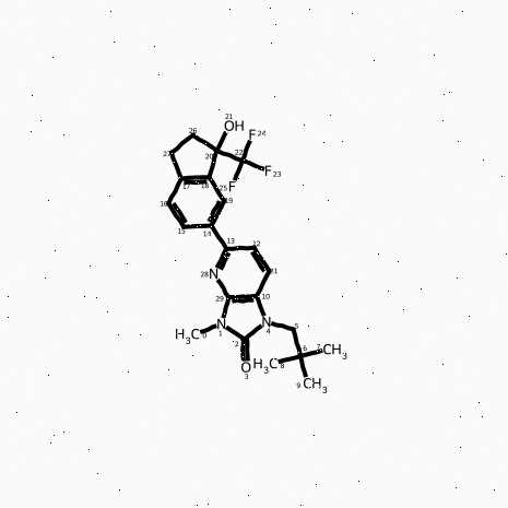 Cn1c(=O)n(CC(C)(C)C)c2ccc(-c3ccc4c(c3)C(O)(C(F)(F)F)CC4)nc21